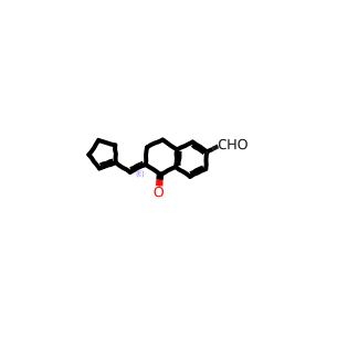 O=Cc1ccc2c(c1)CC/C(=C\C1=CCCC1)C2=O